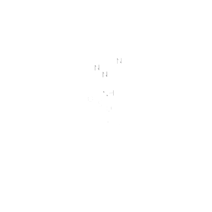 O=S(=O)(Nc1ccnn1-c1ccccn1)c1ccccc1C(F)(F)F